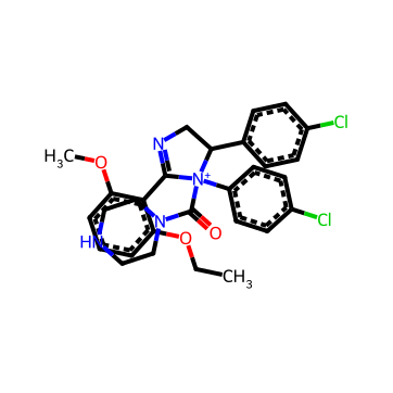 CCOc1cccc(OC)c1C1=NCC(c2ccc(Cl)cc2)[N+]1(C(=O)N1CCNCC1)c1ccc(Cl)cc1